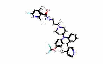 Cc1ccncc1Cc1ccccc1N(c1ccc(OC(F)F)cc1)C1CCN([C@H](C)CCNC(=O)c2c(C)cc(F)nc2C)CC1